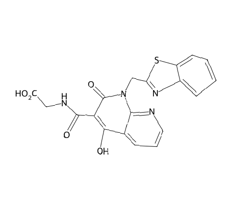 O=C(O)CNC(=O)c1c(O)c2cccnc2n(Cc2nc3ccccc3s2)c1=O